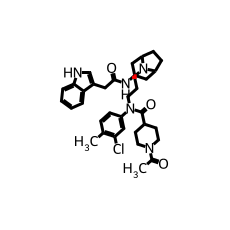 CC(=O)N1CCC(C(=O)N(CCCN2C3CCC2CC(NC(=O)Cc2c[nH]c4ccccc24)C3)c2ccc(C)c(Cl)c2)CC1